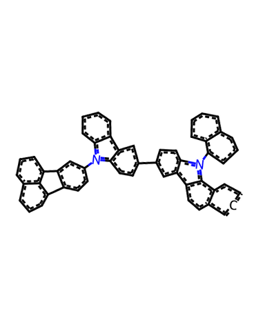 c1ccc2c(-n3c4ccc(-c5ccc6c(c5)c5ccccc5n6-c5ccc6c(c5)-c5cccc7cccc-6c57)cc4c4ccc5ccccc5c43)cccc2c1